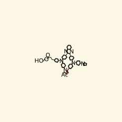 CC(=O)CCc1ccc(N(c2ccc(-c3nc4ccccc4nc3-c3ccc(N(c4ccc(CCC(=O)OCCO)cc4)c4ccc(-n5cccc5)cc4)cc3)cc2)c2ccc(-n3cccc3)cc2)cc1